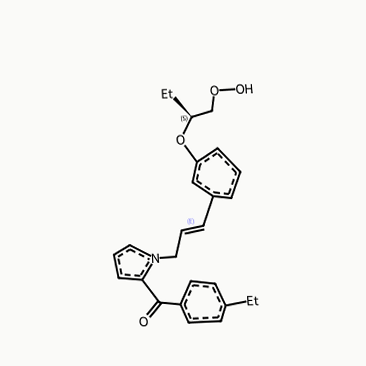 CCc1ccc(C(=O)c2cccn2C/C=C/c2cccc(O[C@@H](CC)COO)c2)cc1